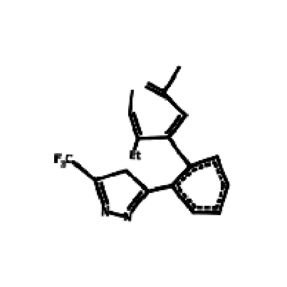 C=C(C)/C=C(\C(=C/C)CC)c1ccccc1C1=NN=C(C(F)(F)F)C1